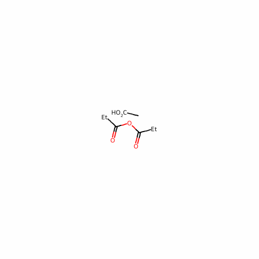 CC(=O)O.CCC(=O)OC(=O)CC